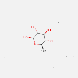 CC[C@H]1O[C@@H](O)[C@H](O)[C@@H](O)[C@@H]1O